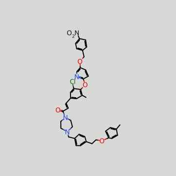 Cc1ccc(OCCc2ccc(CN3CCN(C(=O)C=Cc4cc(C)c(Oc5ccc(OCc6ccc([N+](=O)[O-])cc6)cn5)c(Cl)c4)CC3)cc2)cc1